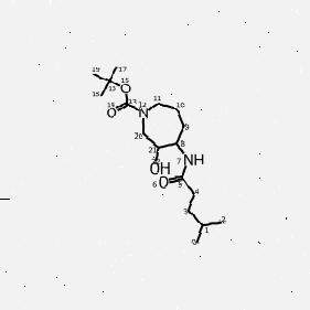 CC(C)CCC(=O)NC1CCCN(C(=O)OC(C)(C)C)CC1O